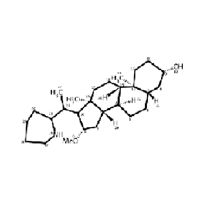 CO[C@H]1C[C@H]2[C@@H]3CC[C@H]4C[C@@H](O)CC[C@]4(C)[C@H]3CC[C@]2(C)C1C(C)C1CCCCN1